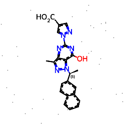 Cc1nn([C@@H](C)c2ccc3ccccc3c2)c2c(O)nc(-n3cc(C(=O)O)cn3)nc12